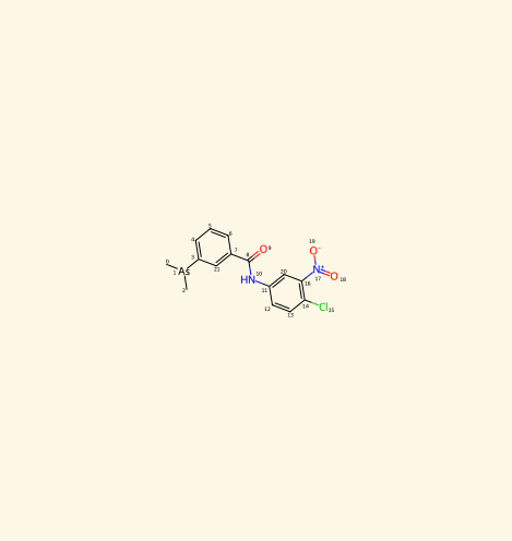 C[As](C)c1cccc(C(=O)Nc2ccc(Cl)c([N+](=O)[O-])c2)c1